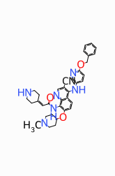 CN1CCC(Oc2ccc3c(Nc4ccc(OCc5ccccc5)nc4)c(C#N)cnc3c2NC(=O)C=C2CCNCC2)CC1